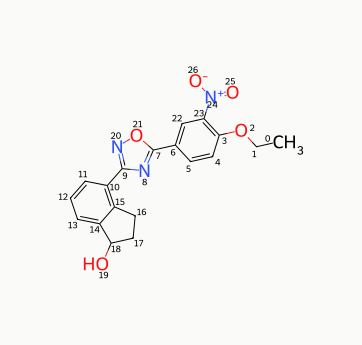 CCOc1ccc(-c2nc(-c3cccc4c3CCC4O)no2)cc1[N+](=O)[O-]